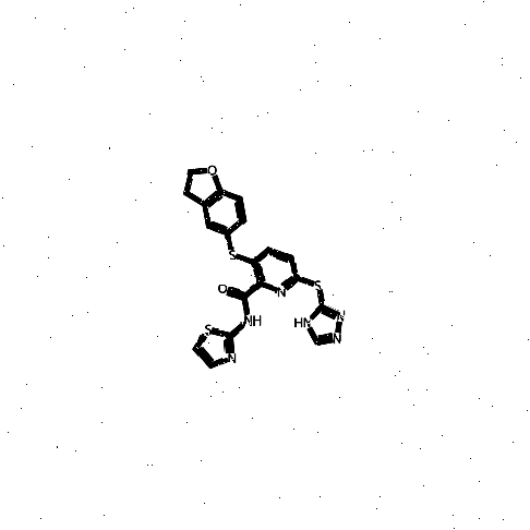 O=C(Nc1nccs1)c1nc(Sc2nnc[nH]2)ccc1Sc1ccc2c(c1)CCO2